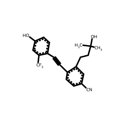 CC(C)(O)CCc1cc(C#N)ccc1C#Cc1ccc(O)cc1C(F)(F)F